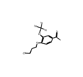 [2H]C([2H])([2H])Oc1cc(C(C)=O)ccc1OCCCCl